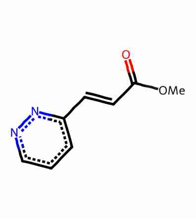 COC(=O)C=Cc1cccnn1